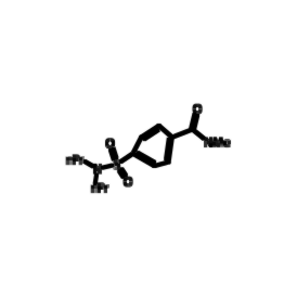 CCCN(CCC)S(=O)(=O)c1ccc(C(=O)NC)cc1